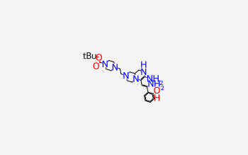 CC(C)(C)OC(=O)N1CCN(CCN2CCN3C(/C=C(\N)c4ccccc4O)=C(N)NCC3C2)CC1